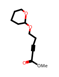 COC(=O)C#CCCOC1CCCCO1